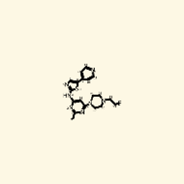 Cc1nc(Nc2ncc(-c3ccncc3)s2)cc(N2CCN(CCF)CC2)n1